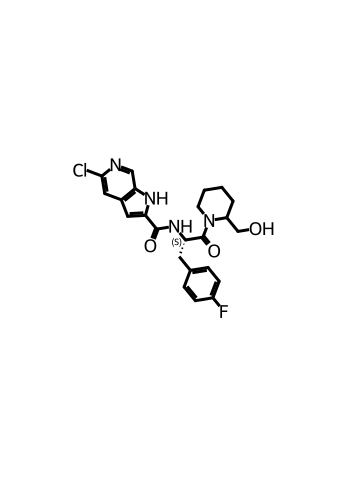 O=C(N[C@@H](Cc1ccc(F)cc1)C(=O)N1CCCCC1CO)c1cc2cc(Cl)ncc2[nH]1